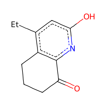 CCc1cc(O)nc2c1CCCC2=O